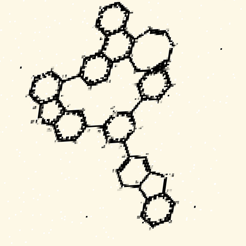 C1#CCc2c(c3ccccc3c3cc(-c4cccc5oc6ccc(-c7nc(C8=CCC9C(=C8)Oc8ccccc89)nc(-c8ccccc8)n7)cc6c45)ccc23)/C=C\C1